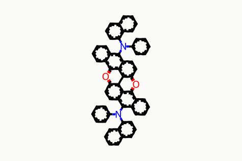 c1ccc(N(c2cccc3ccccc23)c2c3ccccc3c3oc4ccc5c(N(c6ccccc6)c6cccc7ccccc67)c6ccccc6c6oc7ccc2c3c7-c4c56)cc1